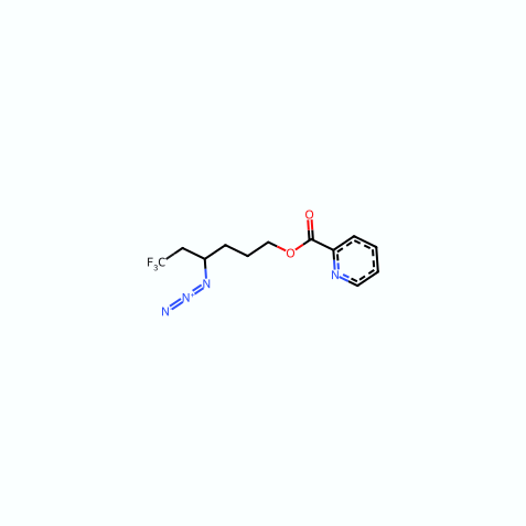 [N-]=[N+]=NC(CCCOC(=O)c1ccccn1)CC(F)(F)F